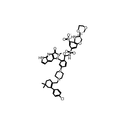 Cn1c(=O)c2nc3[nH]ccc3cc2n1-c1cc(N2CCN(CC3=C(c4ccc(Cl)cc4)CC(C)(C)CC3)CC2)ccc1C(=O)NS(=O)(=O)c1cc2c(c([N+](=O)[O-])c1)N[C@@H]([C@H]1COCCO1)CO2